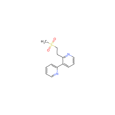 [CH2]S(=O)(=O)CCc1ncccc1-c1ccccn1